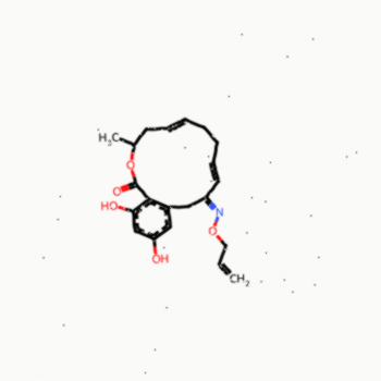 C=CCON=C1/C=C/CC/C=C/CC(C)OC(=O)c2c(O)cc(O)cc2C1